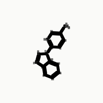 Cc1ccc(-n2nnc3ccccc32)nc1